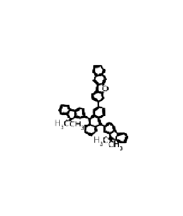 CC1(C)c2ccccc2-c2ccc(-c3c4ccccc4c(-c4ccc5c(c4)C(C)(C)c4ccccc4-5)c4cc(-c5ccc6c(c5)oc5cc7ccccc7cc56)ccc34)cc21